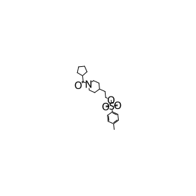 Cc1ccc(S(=O)(=O)OCCC2CCN(C(=O)C3CCCC3)CC2)cc1